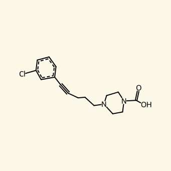 O=C(O)N1CCN(CCCC#Cc2cccc(Cl)c2)CC1